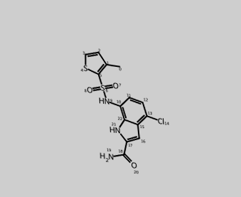 Cc1ccsc1S(=O)(=O)Nc1ccc(Cl)c2cc(C(N)=O)[nH]c12